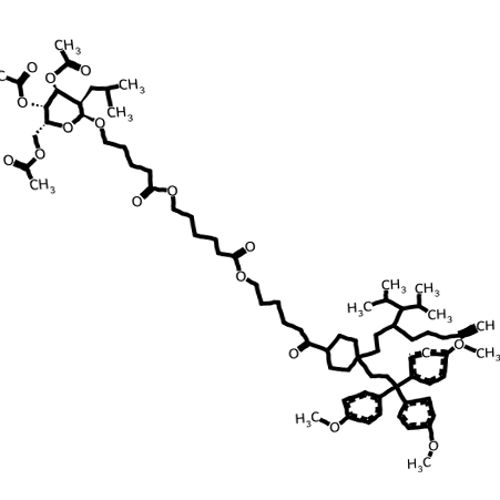 C#CCCCC(CCC1(CCC(c2ccc(OC)cc2)(c2ccc(OC)cc2)c2ccc(OC)cc2)CCC(C(=O)CCCCCOC(=O)CCCCCOC(=O)CCCCO[C@H]2O[C@H](COC(C)=O)[C@H](OC(C)=O)[C@H](OC(C)=O)[C@H]2CC(C)C)CC1)C(C(C)C)C(C)C